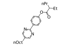 CCCCCCCCc1cnc(-c2ccc(OC(=O)C(CC)CCC)cc2)nc1